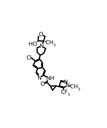 Cn1ncc(C2CC2C(=O)Nc2cc3cc(C4CCN([C@]5(C)COC[C@@H]5O)CC4)c(Cl)cc3cn2)c1C(F)(F)F